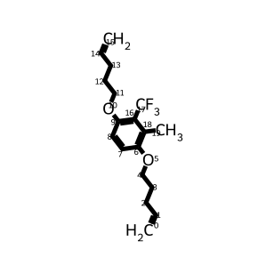 C=CCCCOc1ccc(OCCCC=C)c(C(F)(F)F)c1C